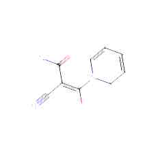 N#CC(C(N)=O)=C(O)N1C=CC=CC1